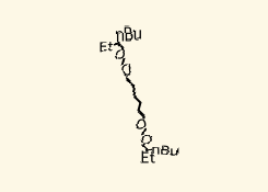 CCCCC(CC)COCCOCCCCCCOCCOCC(CC)CCCC